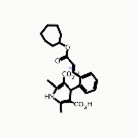 CC1=C(C(=O)O)C(c2ccccc2/C=C/C(=O)OC2CCCCCC2)C(C(=O)O)=C(C)N1